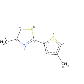 Cc1csc(C2=NC(C)CS2)c1